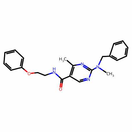 Cc1nc(N(C)Cc2ccccc2)ncc1C(=O)NCCOc1ccccc1